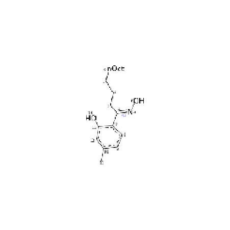 CCCCCCCCCCC/C(=N\O)c1ccc(C)cc1O